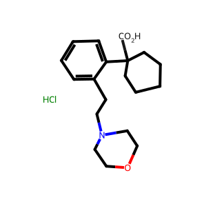 Cl.O=C(O)C1(c2ccccc2CCN2CCOCC2)CCCCC1